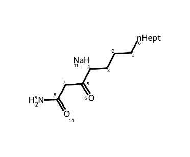 CCCCCCCCCCCC(=O)CC(N)=O.[NaH]